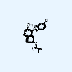 C=C(C)C(=O)Oc1ccc2ccc(O)c(-n3nc4ccc(Cl)cc4n3)c2c1